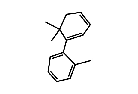 CC1(C)CC=CC=C1c1ccccc1I